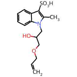 C=CCOCC(O)Cn1c(C)c(S(=O)(=O)O)c2ccccc21